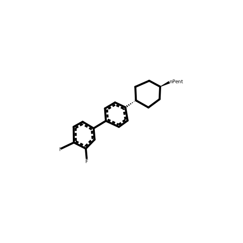 CCCCC[C@H]1CC[C@H](c2ccc(-c3ccc(I)c(F)c3)cc2)CC1